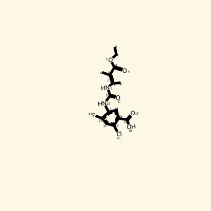 CCOC(=O)/C(C)=C(\C)NC(=O)Nc1cc(C(=O)O)c(Cl)cc1F